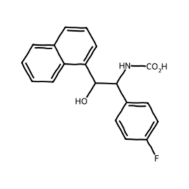 O=C(O)NC(c1ccc(F)cc1)C(O)c1cccc2ccccc12